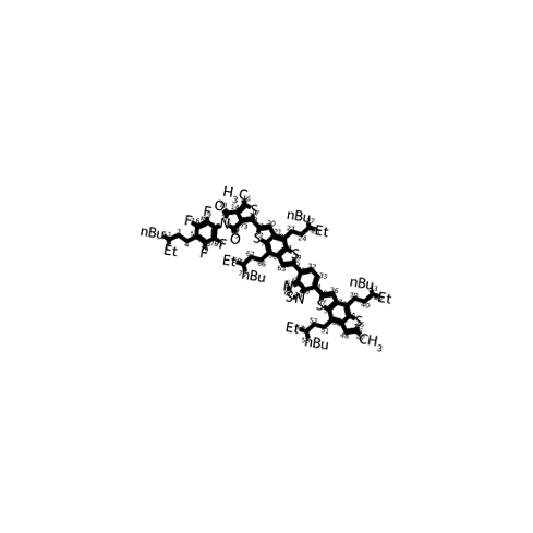 CCCCC(CC)CCc1c(F)c(F)c(N2C(=O)c3c(C)sc(-c4cc5c(CCC(CC)CCCC)c6sc(-c7ccc(-c8cc9c(CCC(CC)CCCC)c%10sc(C)cc%10c(CCC(CC)CCCC)c9s8)c8nsnc78)cc6c(CCC(CC)CCCC)c5s4)c3C2=O)c(F)c1F